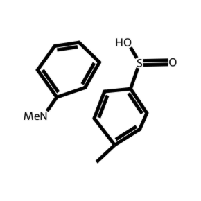 CNc1ccccc1.Cc1ccc(S(=O)O)cc1